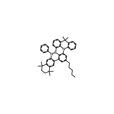 CCCCCc1cc2c3c(c1)N1c4ccccc4C(C)(C)c4cccc(c41)B3N(c1ccccc1)c1cc3c(cc1-2)C(C)(C)CCC3(C)C